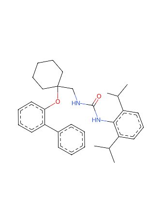 CC(C)c1cccc(C(C)C)c1NC(=O)NCC1(Oc2ccccc2-c2ccccc2)CCCCC1